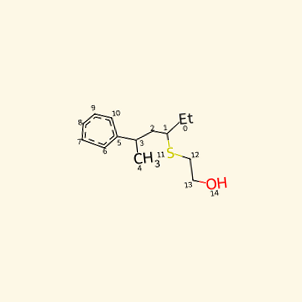 [CH2]CC(CC(C)c1ccccc1)SCCO